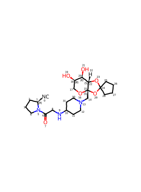 [C-]#[N+][C@@H]1CCCN1C(=O)CNC1CCN(C[C@@]23OC[C@@H](O)[C@@H](O)[C@@H]2OC2(CCCC2)O3)CC1